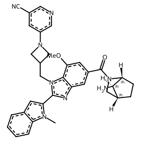 COc1cc(C(=O)N2C[C@H]3CC[C@@H]2[C@@H]3N)cc2nc(-c3cc4ccccc4n3C)n(CC3CN(c4cncc(C#N)c4)C3)c12